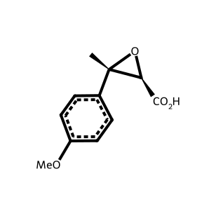 COc1ccc([C@]2(C)O[C@H]2C(=O)O)cc1